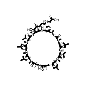 CC[C@H]1NC(=O)C([C@@H](O)[C@@H](C)CCCNCC(=O)O)N(C)C(=O)[C@@H](C(C)C)N(C)C(=O)[C@@H](CC(C)C)N(C)C(=O)[C@@H](CC(C)C)N(C)C(=O)[C@@H](C)NC(=O)[C@@H](C)NC(=O)[C@@H](CC(C)C)N(C)C(=O)[C@@H](C(C)C)NC(=O)[C@@H](CC(C)C)N(C)C(=O)CN(C)C1=O